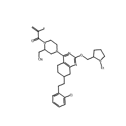 C=C(F)C(=O)N1CCN(c2nc(OCC3CCCN3CC)nc3c2CCC(CCc2ccccc2Cl)C3)CC1CC#N